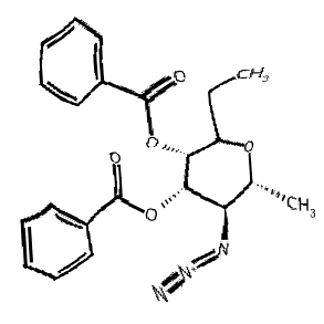 CC[C]1O[C@H](C)[C@@H](N=[N+]=[N-])[C@H](OC(=O)c2ccccc2)[C@@H]1OC(=O)c1ccccc1